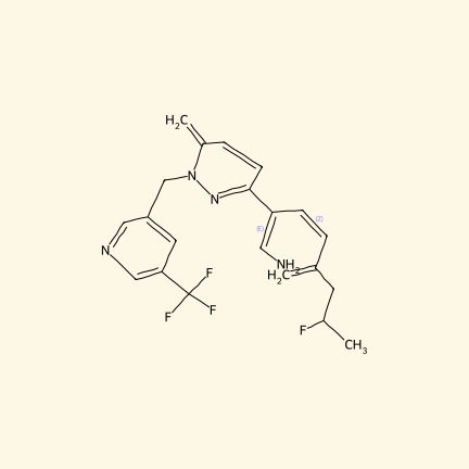 C=C(/C=C\C(=C/N)C1=NN(Cc2cncc(C(F)(F)F)c2)C(=C)C=C1)CC(C)F